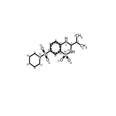 CC(C)C1Nc2ccc(S(=O)(=O)N3CCCCC3)cc2S(=O)(=O)N1